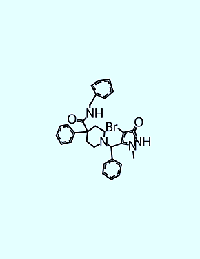 Cn1[nH]c(=O)c(Br)c1C(c1ccccc1)N1CCC(C(=O)NCc2ccccc2)(c2ccccc2)CC1